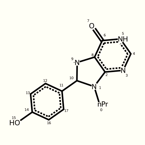 CCCN1c2nc[nH]c(=O)c2[N]C1c1ccc(O)cc1